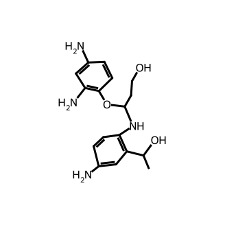 CC(O)c1cc(N)ccc1NC(CCO)Oc1ccc(N)cc1N